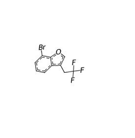 FC(F)(F)Cc1coc2c(Br)cccc12